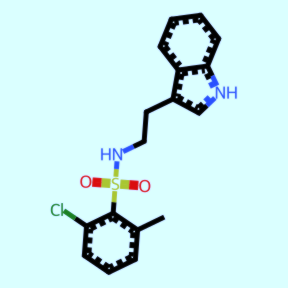 Cc1cccc(Cl)c1S(=O)(=O)NCCc1c[nH]c2ccccc12